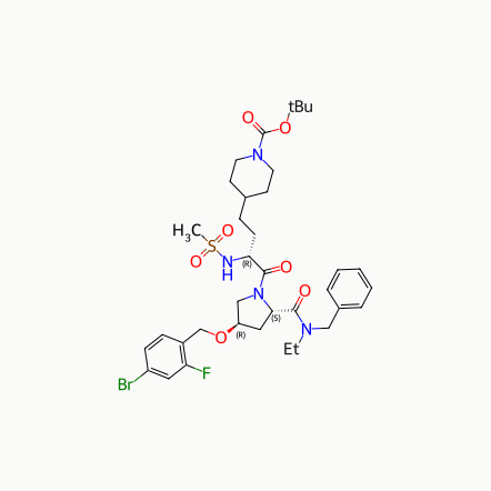 CCN(Cc1ccccc1)C(=O)[C@@H]1C[C@@H](OCc2ccc(Br)cc2F)CN1C(=O)[C@@H](CCC1CCN(C(=O)OC(C)(C)C)CC1)NS(C)(=O)=O